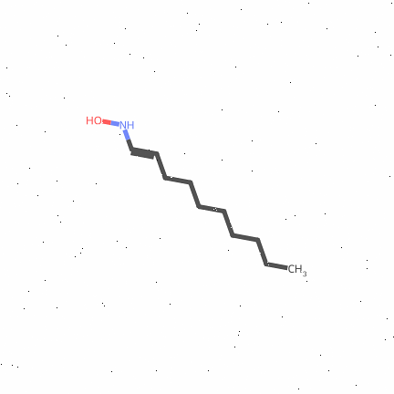 CCCCCCCCC=CNO